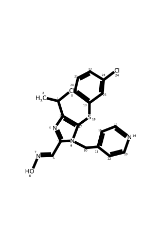 CC(C)c1nc(C=NO)n(Cc2ccncc2)c1Sc1cccc(Cl)c1